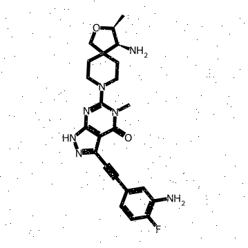 C[C@@H]1OCC2(CCN(c3nc4[nH]nc(C#Cc5ccc(F)c(N)c5)c4c(=O)n3C)CC2)[C@@H]1N